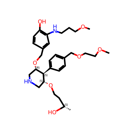 COCCCNc1cc(CO[C@H]2CNC[C@@H](OCC[C@H](C)O)[C@@H]2c2ccc(COCCOC)cc2)ccc1O